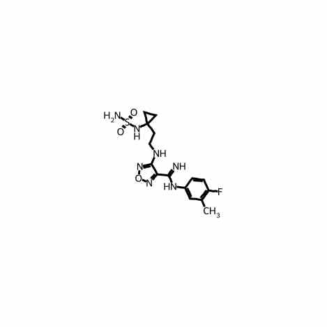 Cc1cc(NC(=N)c2nonc2NCCC2(NS(N)(=O)=O)CC2)ccc1F